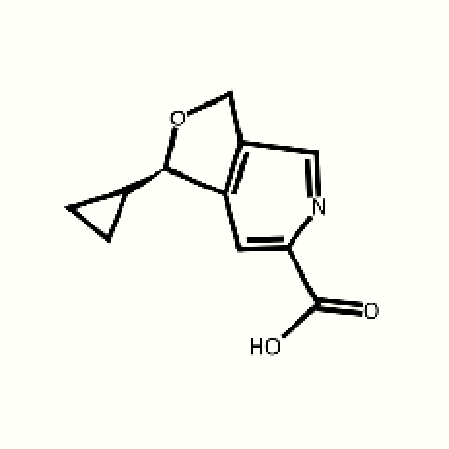 O=C(O)c1cc2c(cn1)CO[C@@H]2C1CC1